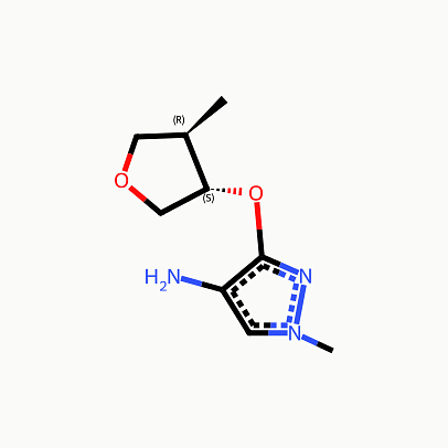 C[C@@H]1COC[C@H]1Oc1nn(C)cc1N